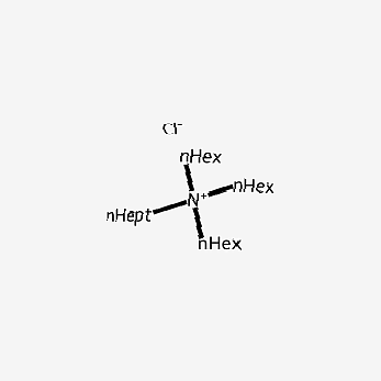 CCCCCCC[N+](CCCCCC)(CCCCCC)CCCCCC.[Cl-]